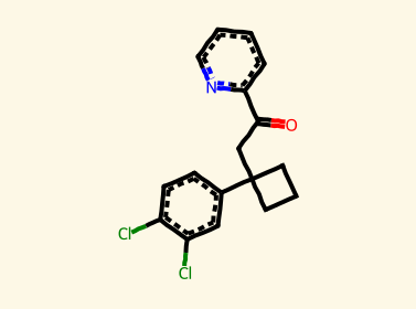 O=C(CC1(c2ccc(Cl)c(Cl)c2)CCC1)c1ccccn1